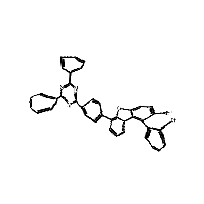 CCc1ccccc1-c1c(CC)ccc2oc3c(-c4ccc(-c5nc(-c6ccccc6)nc(-c6ccccc6)n5)cc4)cccc3c12